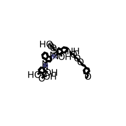 COc1ccc(C=COCOCOCNc2ccc3cc(SOOO)c(/N=N/c4ccc(/N=N/c5ccc(O)c(C(=O)O)c5O)c5ccccc45)c(O)c3c2)cc1